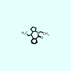 CCC1c2ccccc2C(=O)N(CC)C2CCCC12